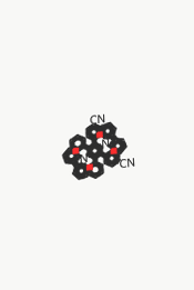 N#Cc1ccc(-c2c(C3CCCCC3)c(-n3c4ccccc4c4ccccc43)c(C3CCCCC3)c(-c3ccc(C#N)cc3)c2-n2c3ccccc3c3ccccc32)cc1